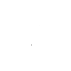 Cl.N.NS(=O)(=O)O